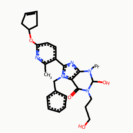 Cc1nc(OC2CC=CC2)ccc1-c1nc2c(n1Cc1ccccc1)C(=O)N(CCCO)C(O)N2C(C)C